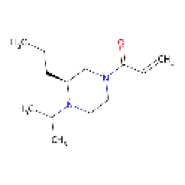 C=CC(=O)N1CCN(C(C)C)[C@@H](CCC)C1